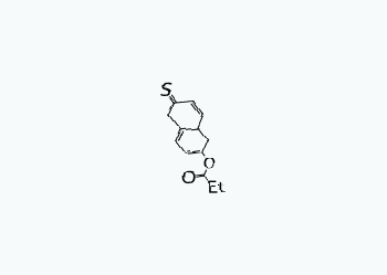 CCC(=O)OC1=CC=C2CC(=S)C=CC2C1